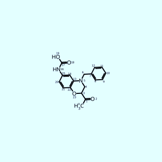 CC(=O)C1CN(Cc2ccccc2)c2cc(NC(=O)O)ccc2O1